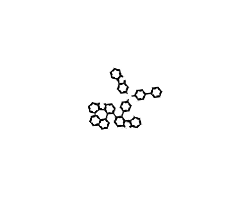 c1ccc(-c2ccc(N(c3ccc(-c4c(-c5ccc6oc7ccccc7c6c5-c5cccc6ccccc56)ccc5oc6ccccc6c45)cc3)c3ccc4c(c3)oc3ccccc34)cc2)cc1